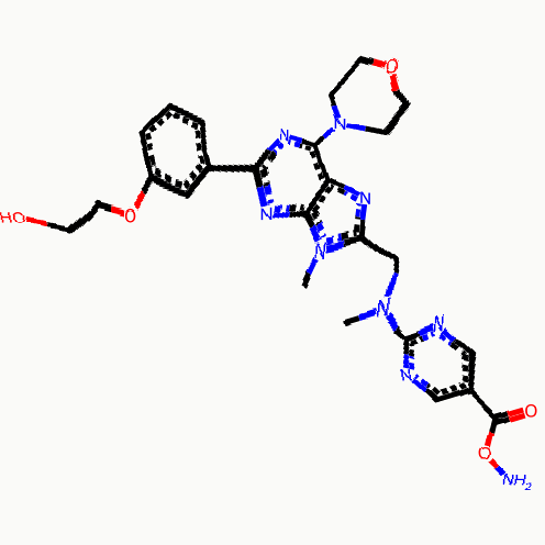 CN(Cc1nc2c(N3CCOCC3)nc(-c3cccc(OCCO)c3)nc2n1C)c1ncc(C(=O)ON)cn1